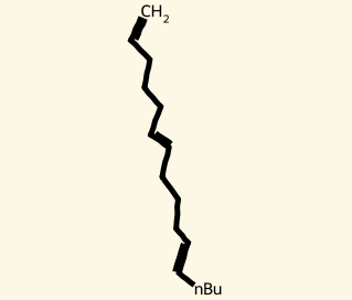 C=CCCCC=CCCCC=CCCCC